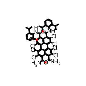 CC(C)c1cccc(C(C)C)c1NC(=O)c1c(Cl)c(Cl)c2c3c(Cl)c(Cl)c(C(N)=O)c4c(C(N)=O)c(Cl)c(Cl)c(c5c(Cl)c(Cl)c(C(=O)Nc6c(C(C)C)cccc6C(C)C)c1c25)c43